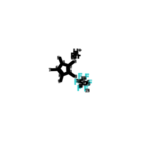 CC1=C(C)C(C)C(C)=C1C.[F][Sb-]([F])([F])([F])([F])[F].[H+].[Rh]